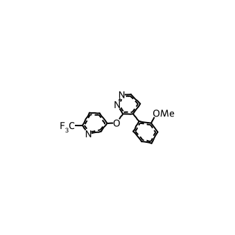 COc1ccccc1-c1ccnnc1Oc1ccc(C(F)(F)F)nc1